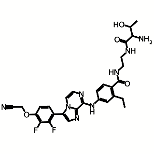 CCc1cc(Nc2nccn3c(-c4ccc(OCC#N)c(F)c4F)cnc23)ccc1C(=O)NCCNC(=O)C(N)C(C)O